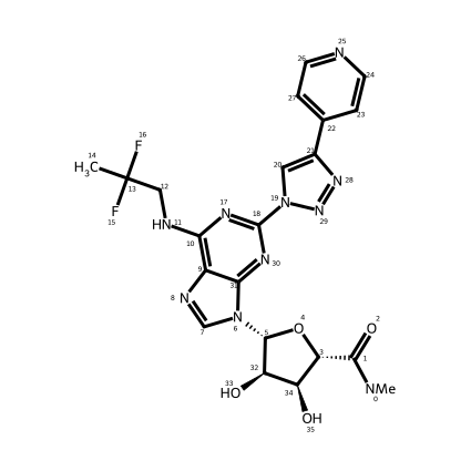 CNC(=O)[C@H]1O[C@@H](n2cnc3c(NCC(C)(F)F)nc(-n4cc(-c5ccncc5)nn4)nc32)[C@H](O)[C@@H]1O